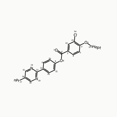 CCCCCCCOc1ccc(C(=O)Oc2ccc(-c3ncc(CCC)cn3)cc2)cc1Cl